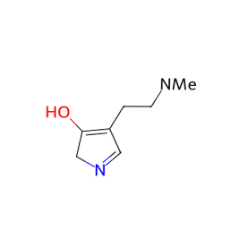 CNCCC1=C(O)CN=C1